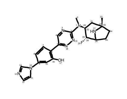 CN(c1ncc(-c2ccc(-n3ccnc3)cc2O)nn1)[C@H]1C[C@]2(C)CCC(N2)[C@@H]1F